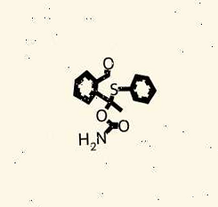 CC(OC(N)=O)(Sc1ccccc1)c1ccccc1C=O